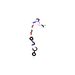 Cc1ncsc1-c1nnc([C@@H]2C[C@@H](O)CN2C(=O)[C@@H](NC(=O)COCCCCOc2ccc(-c3ncc(N4C(=S)CCC(c5ccc(C#N)c(C(F)(F)F)c5F)C(=O)C4(C)C)cc3F)c(C(F)(F)F)c2)C(C)(C)C)o1